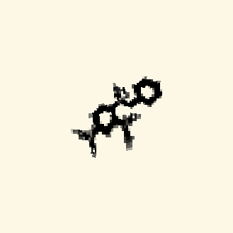 NN(Cc1ccccc1)c1ccc([N+](=O)[O-])cc1[N+](=O)[O-]